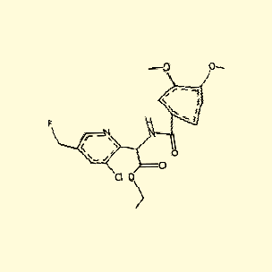 CCOC(=O)C(NC(=O)c1ccc(OC)c(OC)c1)c1ncc(CF)cc1Cl